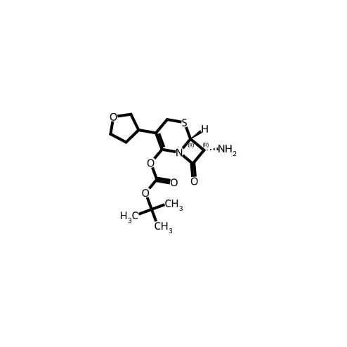 CC(C)(C)OC(=O)OC1=C(C2CCOC2)CS[C@@H]2[C@H](N)C(=O)N12